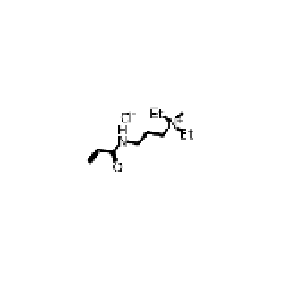 C=CC(=O)NCCC[N+](C)(CC)CC.[Cl-]